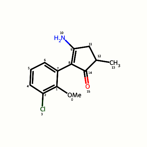 COc1c(Cl)cccc1C1=C(N)CC(C)C1=O